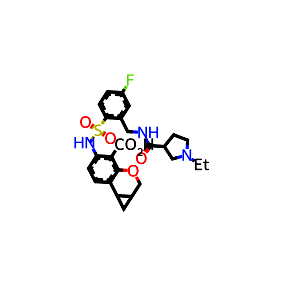 CCN1CCC(C(=O)NCc2cc(F)ccc2S(=O)(=O)Nc2ccc3c(c2C(=O)O)OCC2CC32)C1